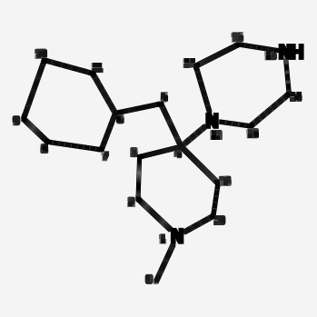 CN1CCC(CC2CCCCC2)(N2CCNCC2)CC1